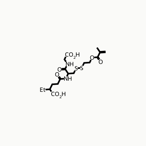 C=C(C)C(=O)OCCSSCC(NC(=O)CCC(CC)C(=O)O)C(=O)NCC(=O)O